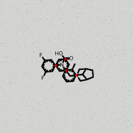 Cc1c(C2C3CCC2CN(Cc2ccccc2)C3)cccc1N(C(=O)O)c1cc(F)cc(F)c1